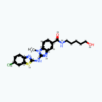 Cn1c(Nc2nc3ccc(Cl)cc3s2)nc2cc(C(=O)NCCCCCO)ccc21